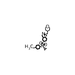 CCc1ccc(N(C2CC2)S(=O)(=O)c2ccc3c(cnn3CC3CCOCC3)c2)cc1